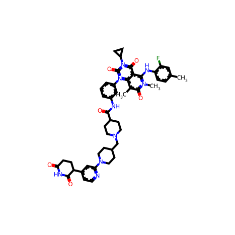 Cc1ccc(Nc2c3c(=O)n(C4CC4)c(=O)n(-c4cccc(NC(=O)C5CCN(CC6CCN(c7cc(C8CCC(=O)NC8=O)ccn7)CC6)CC5)c4)c3c(C)c(=O)n2C)c(F)c1